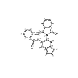 O=C1c2ccccc2C(=O)N1c1nc2nsnc2nc1N1C(=O)c2ccccc2C1=O